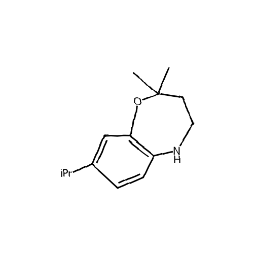 CC(C)c1ccc2c(c1)OC(C)(C)CCN2